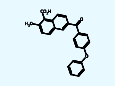 Cc1ccc2cc(C(=O)c3ccc(Oc4ccccc4)cc3)ccc2c1C(=O)O